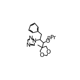 CCCOC(C(Cc1ccccc1)n1cncn1)C1(C)COCOC1